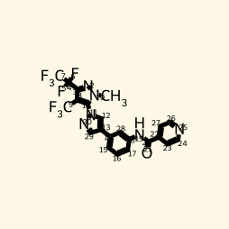 Cn1nc(C(F)(F)C(F)(F)F)c(C(F)(F)F)c1-n1cc(-c2cccc(NC(=O)c3ccncc3)c2)cn1